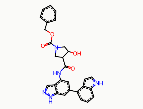 O=C(Nc1cc(-c2cccc3[nH]ccc23)cc2[nH]ncc12)C1CN(C(=O)OCc2ccccc2)CC1O